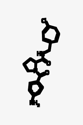 Nc1ccc(C(=O)N2CCCC2C(=O)NCC2=CC=C(Cl)CC=C2)cc1